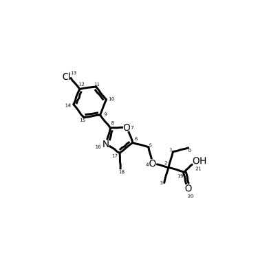 CCC(C)(OCc1oc(-c2ccc(Cl)cc2)nc1C)C(=O)O